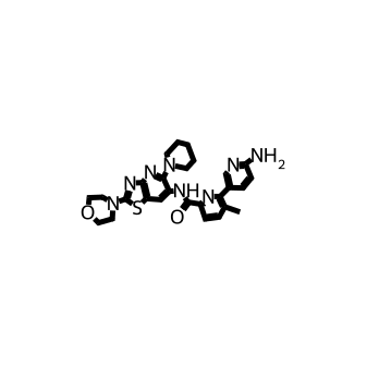 Cc1ccc(C(=O)Nc2cc3sc(N4CCOCC4)nc3nc2N2CCCCC2)nc1-c1ccc(N)nc1